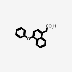 O=C(O)Cc1ccc(Oc2ccccc2)c2ccccc12